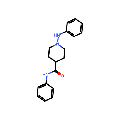 O=C(Nc1ccccc1)C1CCN(Nc2ccccc2)CC1